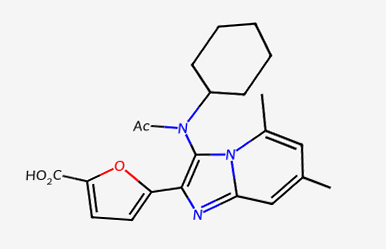 CC(=O)N(c1c(-c2ccc(C(=O)O)o2)nc2cc(C)cc(C)n12)C1CCCCC1